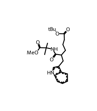 COC(=O)C(C)(C)NC(=O)C(CCCC(=O)OC(C)(C)C)Cc1c[nH]c2ccccc12